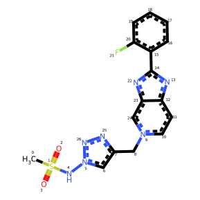 CS(=O)(=O)Nn1cc(Cn2ccc3nc(-c4ccccc4F)nc-3c2)nn1